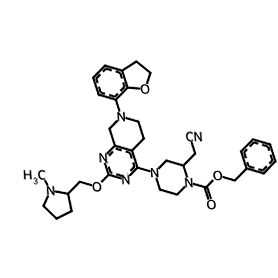 CN1CCCC1COc1nc2c(c(N3CCN(C(=O)OCc4ccccc4)C(CC#N)C3)n1)CCN(c1cccc3c1OCC3)C2